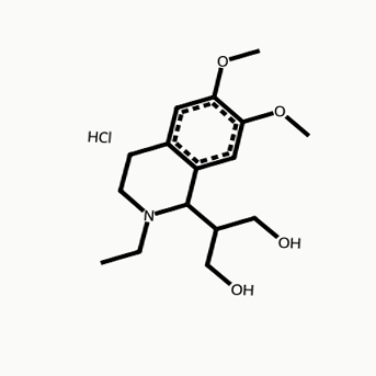 CCN1CCc2cc(OC)c(OC)cc2C1C(CO)CO.Cl